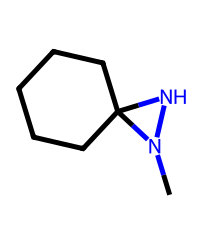 CN1NC12CCCCC2